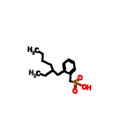 CCCCC(CC)Cc1ccccc1CS(=O)(=O)O